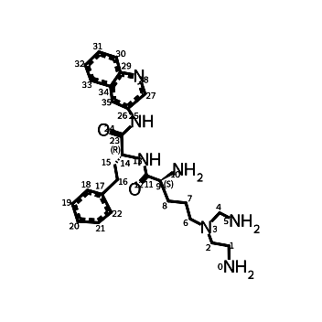 NCCN(CN)CCC[C@H](N)C(=O)N[C@H](CCc1ccccc1)C(=O)Nc1cnc2ccccc2c1